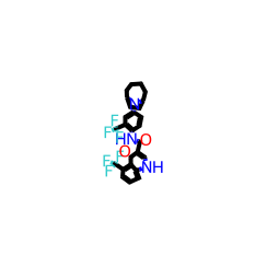 O=C(Nc1ccc(N2C3CCCCC2CC3)cc1C(F)(F)F)c1c[nH]c2cccc(C(F)(F)F)c2c1=O